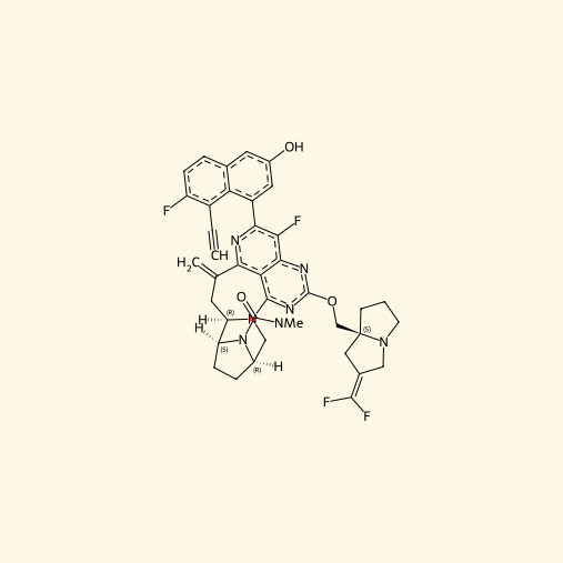 C#Cc1c(F)ccc2cc(O)cc(-c3nc4c5c(nc(OC[C@@]67CCCN6CC(=C(F)F)C7)nc5c3F)N3C[C@H]5CC[C@@H]([C@H]3CC4=C)N5C(=O)NC)c12